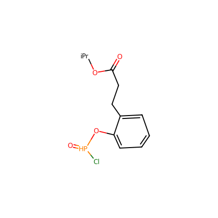 CC(C)OC(=O)CCc1ccccc1O[PH](=O)Cl